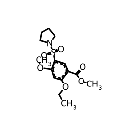 CCOc1cc(OC)c(S(=O)(=O)N2CCCC2)cc1C(=O)OC